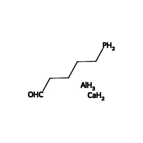 O=CCCCCP.[AlH3].[CaH2]